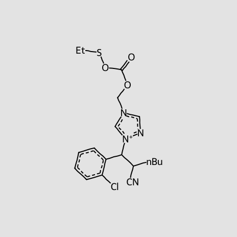 CCCCC(C#N)C(c1ccccc1Cl)[n+]1cn(COC(=O)OSCC)cn1